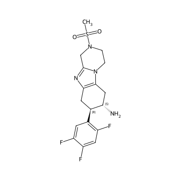 CS(=O)(=O)N1CCn2c(nc3c2C[C@H](N)[C@@H](c2cc(F)c(F)cc2F)C3)C1